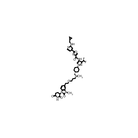 CN(CCCOCCc1ccc2c(c1)n(C)c(=O)n2C1CCC(=O)NC1=O)C[C@H]1CC[C@H](n2cc(NC(=O)c3coc(-c4ccnc(NCC5CC5)c4)n3)c(C(F)F)n2)CC1